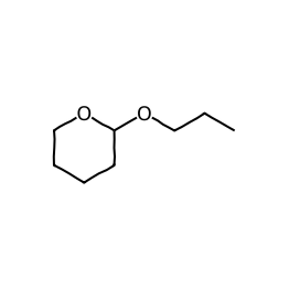 CCCOC1CCCCO1